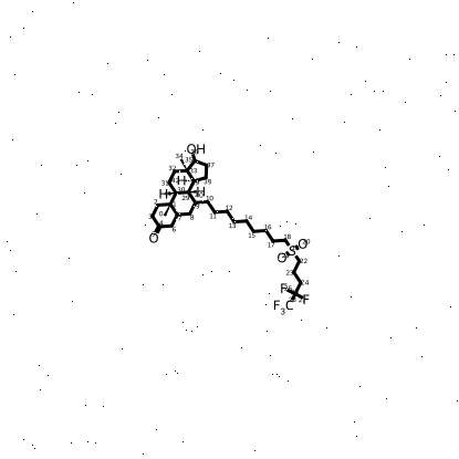 C[C@]12CCC(=O)CC1CC(CCCCCCCCCS(=O)(=O)CCCC(F)(F)C(F)(F)F)[C@@H]1[C@H]2CC[C@]2(C)C(O)CC[C@@H]12